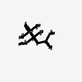 CCCCCC(CC)(CC(CC)CCCC)P(=O)(O)O